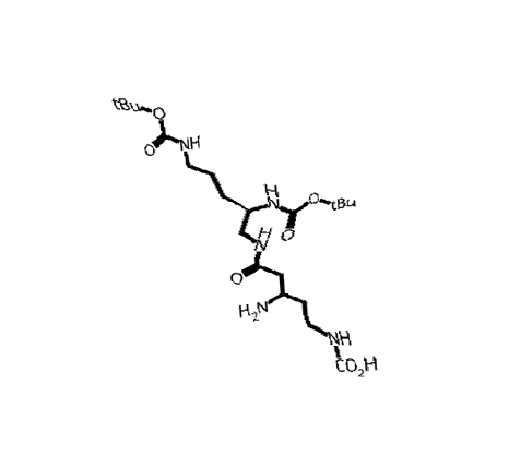 CC(C)(C)OC(=O)NCCC[C@H](CNC(=O)CC(N)CCNC(=O)O)NC(=O)OC(C)(C)C